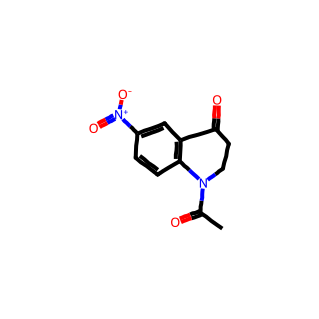 CC(=O)N1CCC(=O)c2cc([N+](=O)[O-])ccc21